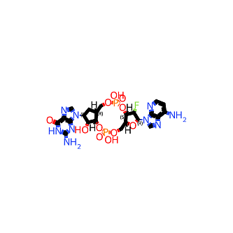 Nc1nc2c(ncn2[C@@H]2C[C@@H]3COP(=O)(O)O[C@@H]4C(F)[C@H](n5cnc6c(N)ccnc65)O[C@@H]4COP(=O)(O)O[C@@H]3C2O)c(=O)[nH]1